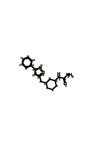 NC(=O)NC1CCCC(Cc2cc(-c3ccccc3)no2)C1